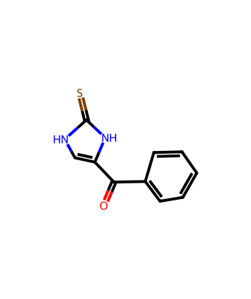 O=C(c1ccccc1)c1c[nH]c(=S)[nH]1